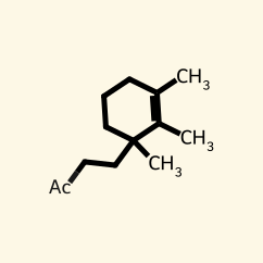 CC(=O)CCC1(C)CCCC(C)=C1C